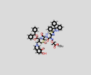 CC(C)(C)OC(=O)C(C)(C)O/N=C(\C(=O)NC1C(=O)N2C(C(=O)OC(c3ccccc3)c3ccccc3)=C(Cn3ccc4ccc(O)c(=O)c-4c3)C[S+]([O-])[C@H]12)c1csc(NC(c2ccccc2)(c2ccccc2)c2ccccc2)n1